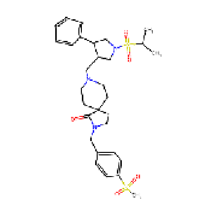 CC(C)S(=O)(=O)N1CC(CN2CCC3(CC2)CCN(Cc2ccc(S(C)(=O)=O)cc2)C3=O)C(c2ccccc2)C1